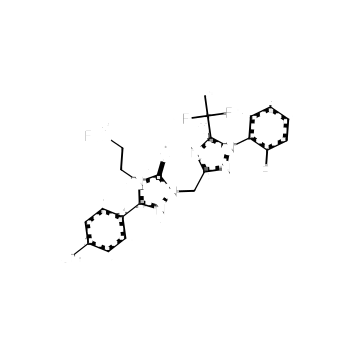 CCc1ccccc1-n1nc(Cn2nc(-c3ccc(Cl)cc3)n(CCC(F)(F)F)c2=O)nc1C(C)(F)F